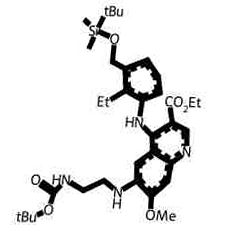 CCOC(=O)c1cnc2cc(OC)c(NCCNC(=O)OC(C)(C)C)cc2c1Nc1cccc(CO[Si](C)(C)C(C)(C)C)c1CC